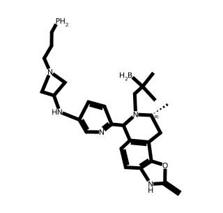 BC(C)(C)CN1C(c2ccc(NC3CN(CCCP)C3)cn2)c2ccc3c(c2C[C@H]1C)OC(=C)N3